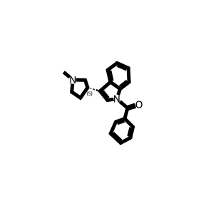 CN1CC[C@@H](c2cn(C(=O)c3ccccc3)c3ccccc23)C1